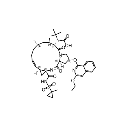 CCOc1cc2ccccc2c(O[C@@H]2C[C@H]3C(=O)N[C@]4(C(=O)NS(=O)(=O)C5(C)CC5)C[C@H]4C=CCC[C@H](C)C[C@@H](C)[C@H](N(C(=O)O)C(C)(C)C)C(=O)N3C2)n1